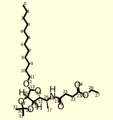 CCCCCCCCCCCCO[C@H]1O[C@H]([C@H](C)NC(=O)CCC(=O)OCC)[C@@H]2OC(C)(C)O[C@H]12